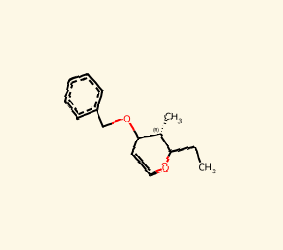 CCC1OC=CC(OCc2ccccc2)[C@@H]1C